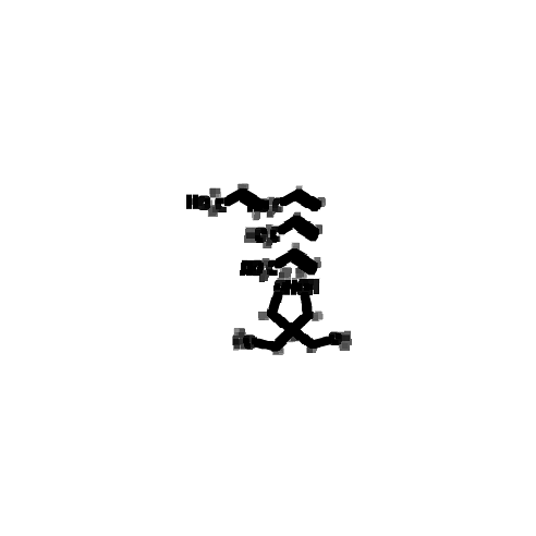 C=CC(=O)O.C=CC(=O)O.C=CC(=O)O.C=CC(=O)O.OCC(CO)(CO)CO